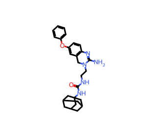 NC1=Nc2ccc(Oc3ccccc3)cc2CN1CCNC(=O)NC12CC3CC(CC(C3)C1)C2